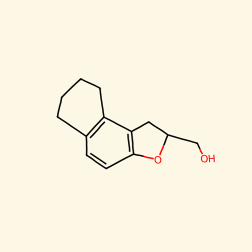 OCC1Cc2c(ccc3c2CCCC3)O1